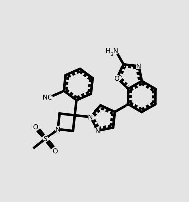 CS(=O)(=O)N1CC(c2ccccc2C#N)(n2cc(-c3cccc4nc(N)oc34)cn2)C1